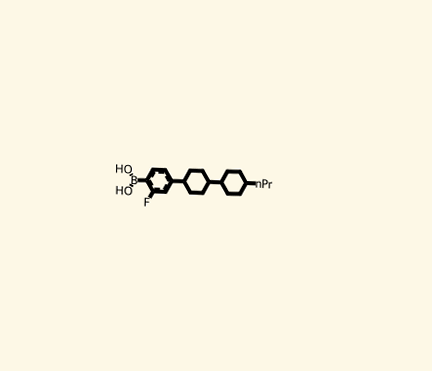 CCCC1CCC(C2CCC(c3ccc(B(O)O)c(F)c3)CC2)CC1